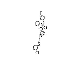 O=C(OC1C[N+]2(CCCSc3cccc(Cl)c3)CCC1CC2)N(Cc1ccc(F)cc1)c1ccccc1F